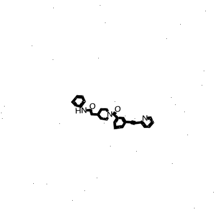 O=C(CC1CCN(C(=O)c2cccc(C#Cc3ccccn3)c2)CC1)Nc1ccccc1